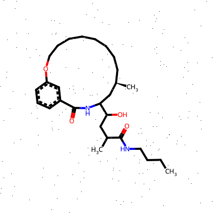 CCCCNC(=O)C(C)CC(O)C1C[C@H](C)CCCCCCCCOc2cccc(c2)C(=O)N1